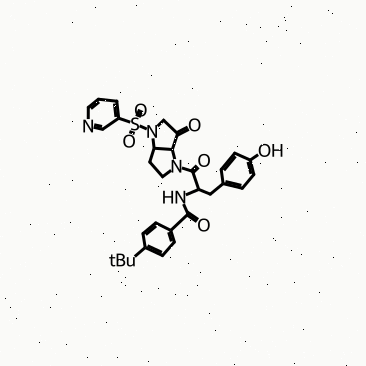 CC(C)(C)c1ccc(C(=O)NC(Cc2ccc(O)cc2)C(=O)N2CCC3C2C(=O)CN3S(=O)(=O)c2cccnc2)cc1